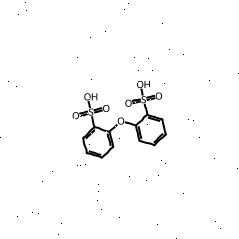 O=S(=O)(O)c1ccccc1Oc1ccccc1S(=O)(=O)O